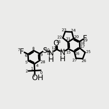 CC(C)(O)c1cc(F)cc(SNC(=O)Nc2c3c(c(F)c4c2CCC4)CCC3)c1